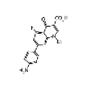 CCn1cc(C(=O)O)c(=O)c2c(F)cc(-c3ccc(N)cc3)cc21